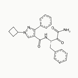 NC(=O)C(=O)C(Cc1ccccc1)NC(=O)c1cn(C2CCC2)nc1-c1ccccc1